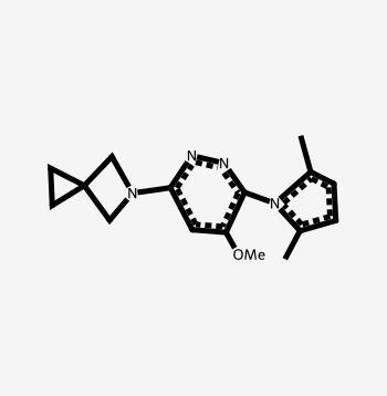 COc1cc(N2CC3(CC3)C2)nnc1-n1c(C)ccc1C